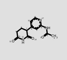 CC(=O)Nc1cc(C2CCC(=O)NC2=O)ccn1